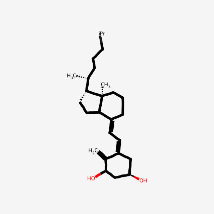 C=C1/C(=C\C=C2/CCC[C@@]3(C)C2CC[C@@H]3[C@H](C)CCCC(C)C)C[C@@H](O)CC1O